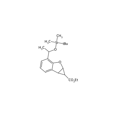 CCOC(=O)C1C2Oc3c(C(C)O[Si](C)(C)C(C)(C)C)cccc3C21